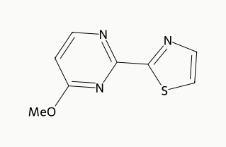 COc1ccnc(-c2nccs2)n1